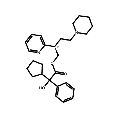 O=C(OC[C@H](CCN1CCCCC1)c1ccccn1)C(O)(c1ccccc1)C1CCCC1